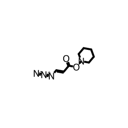 [N-]=[N+]=NC=CC(=O)ON1CCCCC1